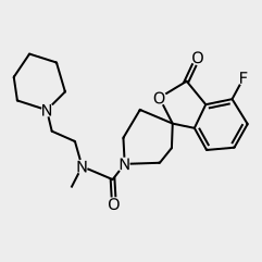 CN(CCN1CCCCC1)C(=O)N1CCC2(CC1)OC(=O)c1c(F)cccc12